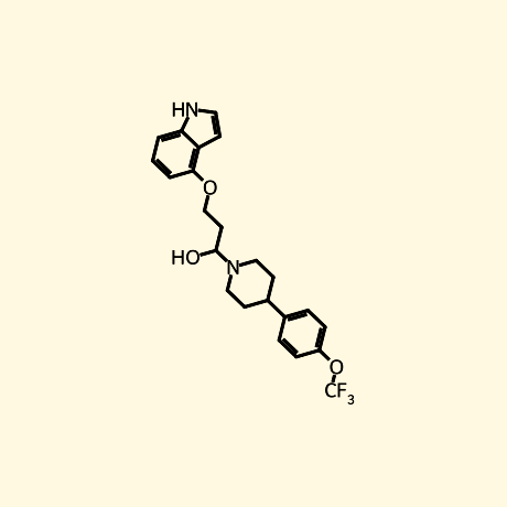 OC(CCOc1cccc2[nH]ccc12)N1CCC(c2ccc(OC(F)(F)F)cc2)CC1